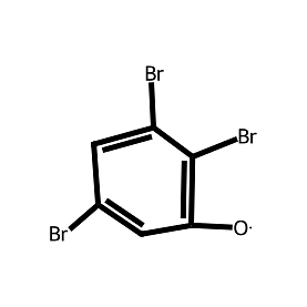 [O]c1cc(Br)cc(Br)c1Br